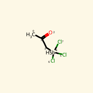 CC(=O)[CH2][SbH]([Cl])([Cl])[Cl]